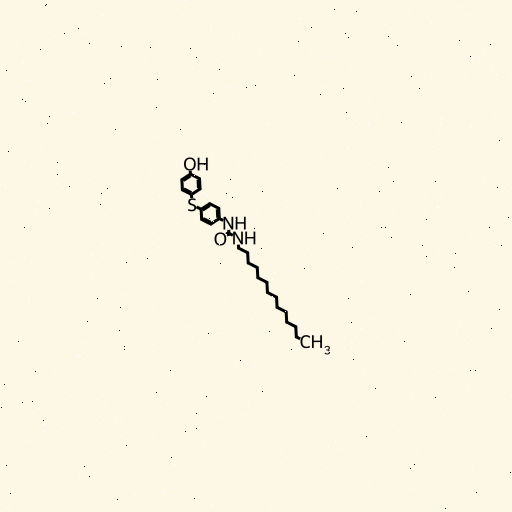 CCCCCCCCCCCCCCNC(=O)Nc1ccc(Sc2ccc(O)cc2)cc1